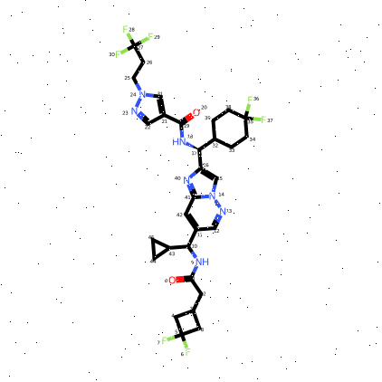 O=C(CC1CC(F)(F)C1)NC(c1cnn2cc([C@@H](NC(=O)c3cnn(CCC(F)(F)F)c3)C3CCC(F)(F)CC3)nc2c1)C1CC1